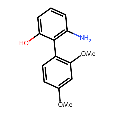 COc1ccc(-c2c(N)cccc2O)c(OC)c1